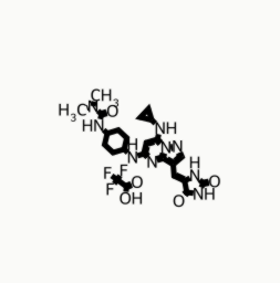 CN(C)C(=O)NC1CCC(Nc2cc(NC3CC3)n3ncc(/C=C4\NC(=O)NC4=O)c3n2)CC1.O=C(O)C(F)(F)F